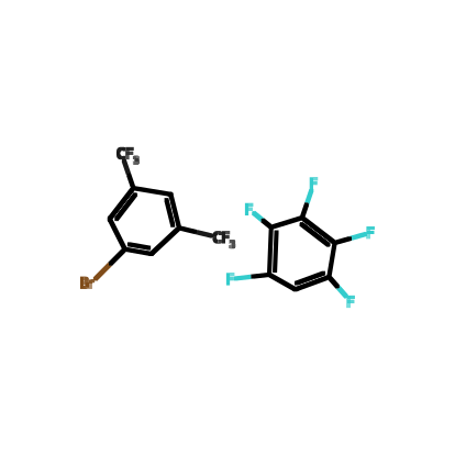 FC(F)(F)c1cc(Br)cc(C(F)(F)F)c1.Fc1cc(F)c(F)c(F)c1F